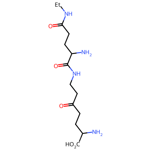 CCNC(=O)CCC(N)C(=O)NCCC(=O)CCC(N)C(=O)O